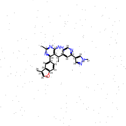 Cc1nc(N)c([C@H](C)c2ccnc(-c3cnn(C)c3)c2)c(-c2ccc3occ(C)c3c2)n1